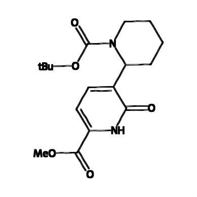 COC(=O)c1ccc(C2CCCCN2C(=O)OC(C)(C)C)c(=O)[nH]1